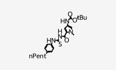 CCCCCc1ccc(NC(=S)NC(=O)c2cc(NC(=O)OC(C)(C)C)cn2C)cc1